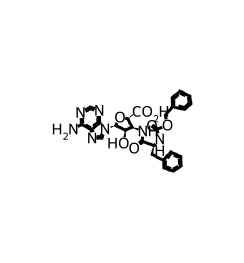 Nc1ncnc2c1ncn2[C@@H]1O[C@H](C(=O)O)[C@@H](NC(=O)[C@H](Cc2ccccc2)NC(=O)OCc2ccccc2)[C@H]1O